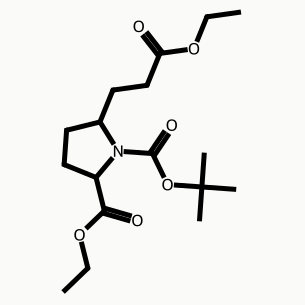 CCOC(=O)CCC1CCC(C(=O)OCC)N1C(=O)OC(C)(C)C